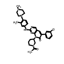 CC(=O)N1CCCC(n2c(=O)c(-c3cccc(Cl)c3)cc3cnc(Nc4ccc(N5CCN(C)CC5)c(C)c4)nc32)C1